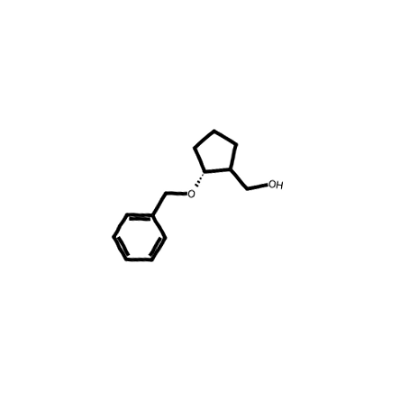 OCC1CCC[C@H]1OCc1ccccc1